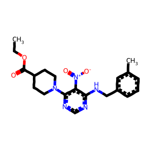 CCOC(=O)C1CCN(c2ncnc(NCc3cccc(C)c3)c2[N+](=O)[O-])CC1